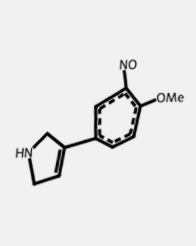 COc1ccc(C2=CCNC2)cc1N=O